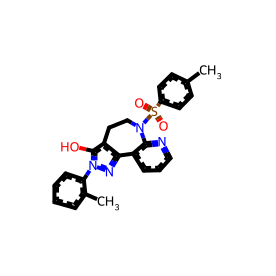 Cc1ccc(S(=O)(=O)N2CCc3c(nn(-c4ccccc4C)c3O)-c3cccnc32)cc1